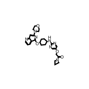 O=C(COc1cnc(N[C@H]2CC[C@@H](Oc3nc(N4CCOCC4)cc4ncccc34)CC2)nc1)N1CCC1